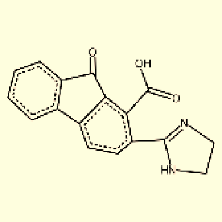 O=C(O)c1c(C2=NCCN2)ccc2c1C(=O)c1ccccc1-2